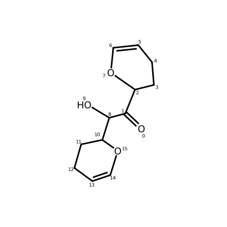 O=C(C1CCC=CO1)C(O)C1CCC=CO1